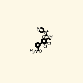 CC(NC(=O)N(C)C1CCN(C)CC1)c1ccc(-c2cccc(C(N)=O)c2)c(Cl)c1Cl